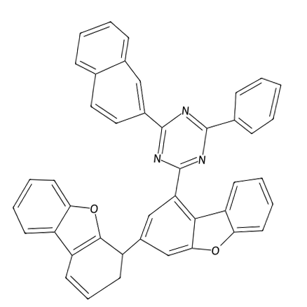 C1=Cc2c(oc3ccccc23)C(c2cc(-c3nc(-c4ccccc4)nc(-c4ccc5ccccc5c4)n3)c3c(c2)oc2ccccc23)C1